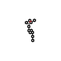 c1ccc(-c2ccc(-c3ccc4ccc5c(-c6ccc(N(c7ccc(-c8ccccc8)cc7)c7ccccc7-c7ccccc7)cc6)ccc6ccc3c4c65)cc2)cc1